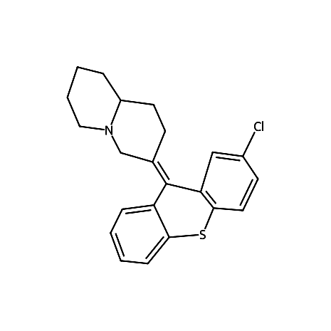 Clc1ccc2c(c1)/C(=C1\CCC3CCCCN3C1)c1ccccc1S2